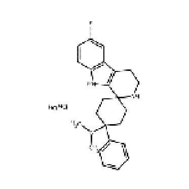 CN(C)C1(c2ccccc2)CCC2(CC1)NCCc1c2[nH]c2ccc(F)cc12.Cl.Cl